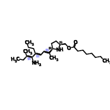 CCCCCCCC(=O)OC[C@@H]1CC[C@H](/C(C)=C/C=C(CCC)/C(N)=C(\C)CC)N1